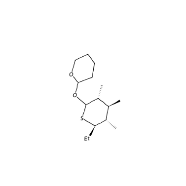 CC[C@H]1SC(OC2CCCCO2)[C@H](C)[C@@H](C)[C@@H]1C